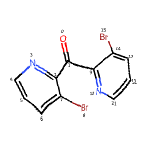 O=C(c1ncccc1Br)c1ncccc1Br